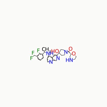 C[C@@H](Nc1ccnc2cnc(C3(O)CCN(C(=O)[C@@H]4CNCCO4)CC3)cc12)c1cccc(C(F)F)c1F